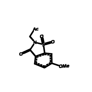 COc1ccc2c(c1)S(=O)(=O)N(CC(C)=O)C2=O